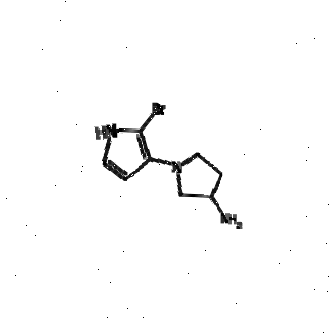 NC1CCN(c2cc[nH]c2Br)C1